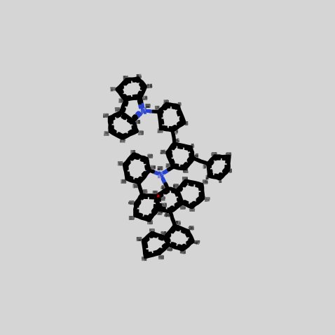 c1ccc(-c2cc(-c3cccc(-n4c5ccccc5c5ccccc54)c3)cc(N(c3ccccc3-c3ccccc3)c3ccc(-c4cccc5ccccc45)c4ccccc34)c2)cc1